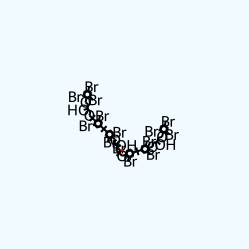 CC(C)(CC(O)COc1c(Br)cc(C(C)(C)c2cc(Br)c(C(C)(C)OCC(O)COc3c(Br)cc(Br)cc3Br)c(Br)c2)cc1Br)Oc1c(Br)cc(C(C)(C)c2cc(Br)c(OCC(O)COc3c(Br)cc(Br)cc3Br)c(Br)c2)cc1Br